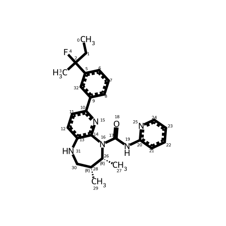 CCC(C)(F)c1cccc(-c2ccc3c(n2)N(C(=O)Nc2ccccn2)[C@H](C)[C@H](C)CN3)c1